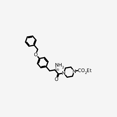 CCOC(=O)N1CCN(C(=O)[C@@H](N)Cc2ccc(OCc3ccccc3)cc2)CC1